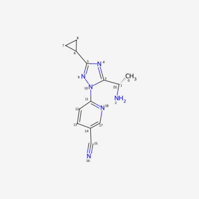 C[C@H](N)c1nc(C2CC2)nn1-c1ccc(C#N)cn1